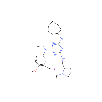 CCN(c1ccc(OC)c(CI)c1)c1nc(NCC2CCCN2CC)nc(NC2CCCCCC2)n1